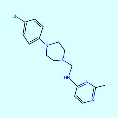 Cc1nccc(NCN2CCN(c3ccc(Cl)cc3)CC2)n1